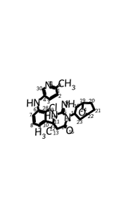 Cc1ccc(Nc2cccc([C@]3(C)CC(=O)N(C4CC5CCC(C4)O5)C(=N)N3)c2Cl)cn1